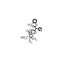 Cc1ccccc1OC(=O)C(C(=O)N[C@@H]1C(=O)N2[C@@H]1SC(C)(C)[C@@H]2C(=O)O)c1ccsc1